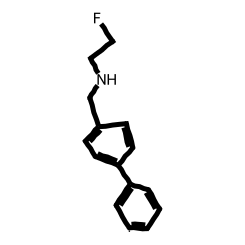 FCCNCc1ccc(-c2c[c]ccc2)cc1